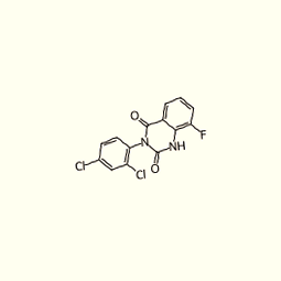 O=c1[nH]c2c(F)cccc2c(=O)n1-c1ccc(Cl)cc1Cl